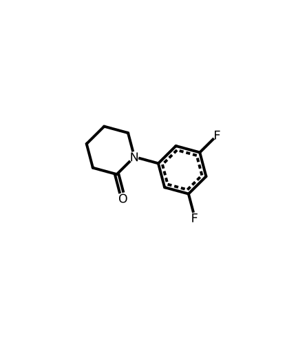 O=C1CCCCN1c1cc(F)cc(F)c1